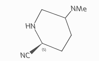 CNC1CC[C@@H](C#N)NC1